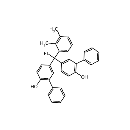 CCC(c1ccc(O)c(-c2ccccc2)c1)(c1ccc(O)c(-c2ccccc2)c1)c1cccc(C)c1C